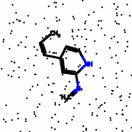 C=NC1=C=C(/C=C\C)C=CN1